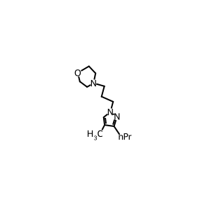 CCCc1nn(CCCN2CCOCC2)cc1C